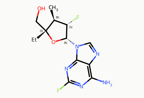 CC[C@]1(CO)O[C@@H](n2cnc3c(N)nc(F)nc32)[C@@H](F)[C@@H]1C